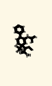 CCC(C(=O)O)C1(C(F)(F)F)C=CC(c2ccccc2)C(SC(C)C)=C1